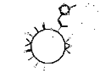 CC(=Cc1csc(C)n1)[C@@H]1C[C@@H]2O[C@]2(C)CCC[C@H](C)[C@H](O)[C@@H](C)C(=O)C(C)(C)[C@@H](O)C(C)C(=O)O1